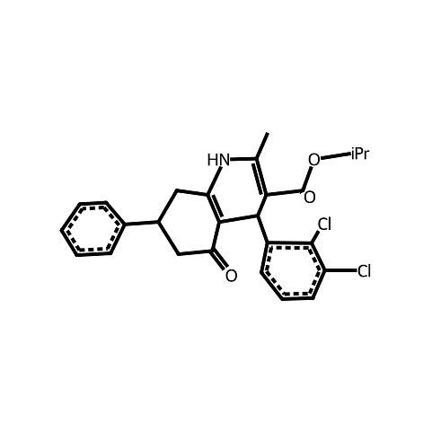 CC1=C(C(=O)OC(C)C)C(c2cccc(Cl)c2Cl)C2=C(CC(c3ccccc3)CC2=O)N1